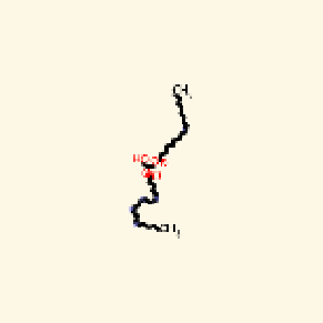 CCCCC/C=C\C/C=C\C/C=C\C/C=C\CCCC(=O)OC(CO)COC(=O)CCCCCCC/C=C\CCCCCCCC